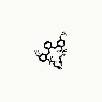 COc1ccc(S(=O)(=O)NCC#N)c(Cc2ccccc2Cc2cc(OC)ccc2S(=O)(=O)NCC#N)c1